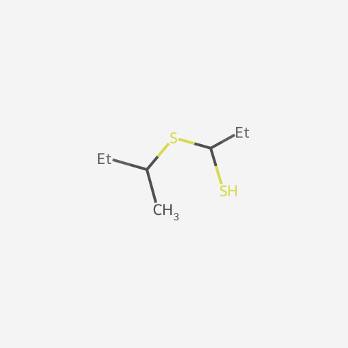 CCC(C)SC(S)CC